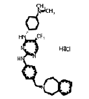 CN(C)[C@H]1CC[C@H](Nc2nc(Nc3ccc(CN4CCc5ccccc5CC4)cc3)ncc2C(F)(F)F)CC1.Cl.Cl